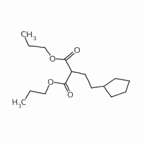 CCCOC(=O)C(CCC1CCCC1)C(=O)OCCC